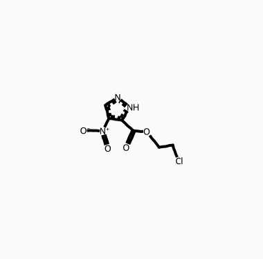 O=C(OCCCl)c1[nH]ncc1[N+](=O)[O-]